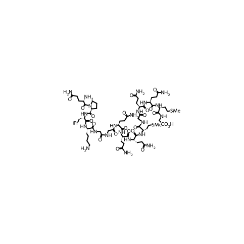 CSCC[C@H](NC(=O)[C@H](CCC(N)=O)NC(=O)[C@H](CCC(N)=O)NC(=O)CNC(=O)[C@H](CCSC)NC(=O)[C@H](CCC(N)=O)NC(=O)[C@H](CCC(N)=O)NC(=O)[C@H](CCC(N)=O)NC(=O)CNC(=O)CNC(=O)[C@H](CCCCN)NC(=O)[C@H](CC(C)C)NC(=O)[C@@H]1CCCN1C(=O)[C@@H](N)CCC(N)=O)C(=O)NCC(=O)O